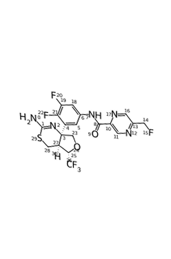 NC1=N[C@@]2(c3cc(NC(=O)c4cnc(CF)cn4)cc(F)c3F)CO[C@H](C(F)(F)F)[C@H]2CS1